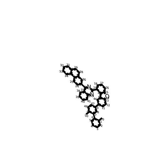 Cc1ccccc1-c1cc(-c2ccc3oc4cccc(-c5nc(-c6ccc7c(ccc8ccccc87)c6)c6ccccc6n5)c4c3c2)ccc1C